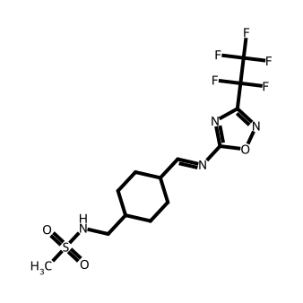 CS(=O)(=O)NCC1CCC(/C=N/c2nc(C(F)(F)C(F)(F)F)no2)CC1